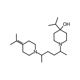 CC(C)=C1CCN(C(C)CCC(C)N2CCC(O)(C(C)C)CC2)CC1